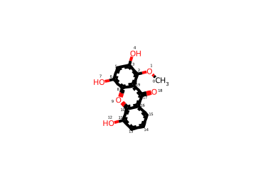 COc1c(O)cc(O)c2oc3c(O)cccc3c(=O)c12